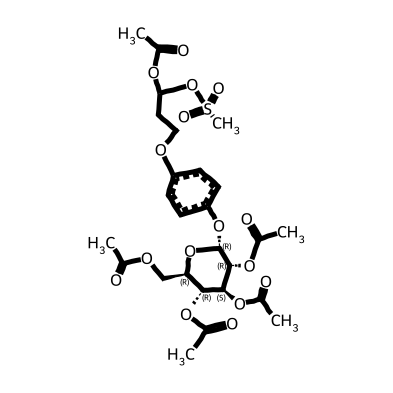 CC(=O)OC[C@H]1O[C@H](Oc2ccc(OCCC(OC(C)=O)OS(C)(=O)=O)cc2)[C@H](OC(C)=O)[C@@H](OC(C)=O)[C@@H]1OC(C)=O